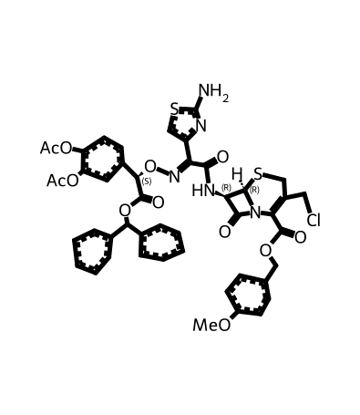 COc1ccc(COC(=O)C2=C(CCl)CS[C@@H]3[C@H](NC(=O)C(=NO[C@H](C(=O)OC(c4ccccc4)c4ccccc4)c4ccc(OC(C)=O)c(OC(C)=O)c4)c4csc(N)n4)C(=O)N23)cc1